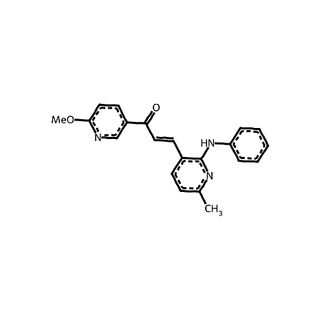 COc1ccc(C(=O)C=Cc2ccc(C)nc2Nc2ccccc2)cn1